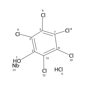 Cl.Oc1c(Cl)c(Cl)c(Cl)c(Cl)c1Cl.[Nb]